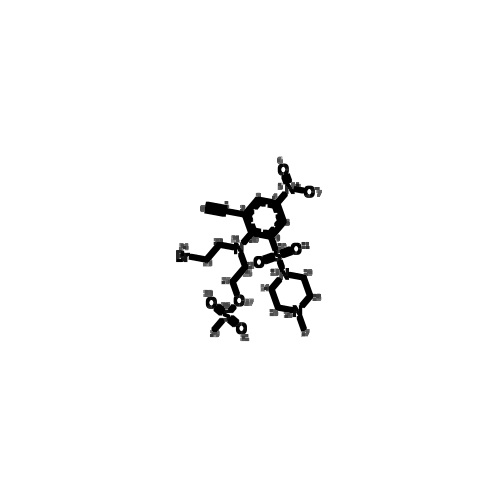 C#Cc1cc([N+](=O)[O-])cc(S(=O)(=O)N2CCN(C)CC2)c1N(CCBr)CCOS(C)(=O)=O